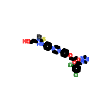 CCN(CCCO)C(=S)Nc1ccc(N2CCN(c3ccc(OCC4COC(Cn5cncn5)(c5ccc(Cl)cc5Cl)O4)cc3)CC2)cc1